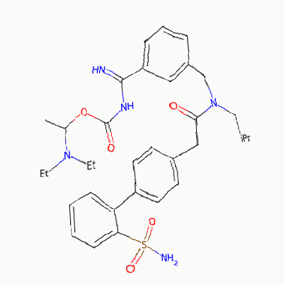 CCN(CC)C(C)OC(=O)NC(=N)c1cccc(CN(CC(C)C)C(=O)Cc2ccc(-c3ccccc3S(N)(=O)=O)cc2)c1